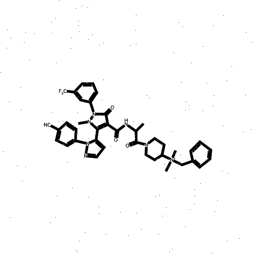 CC(NC(=O)c1c(-c2ccnn2-c2ccc(C#N)cc2)n(C)n(-c2cccc(C(F)(F)F)c2)c1=O)C(=O)N1CCC([N+](C)(C)Cc2ccccc2)CC1